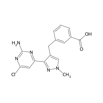 Cn1cc(Cc2cccc(C(=O)O)c2)c(-c2cc(Cl)nc(N)n2)n1